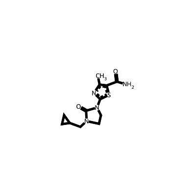 Cc1nc(N2CCN(CC3CC3)C2=O)sc1C(N)=O